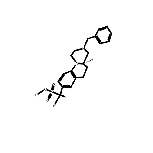 O=S(=O)(OF)C(F)(F)c1ccc2c(c1)CC[C@@H]1CN(Cc3ccccc3)CCN21